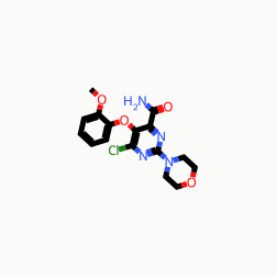 COc1ccccc1Oc1c(Cl)nc(N2CCOCC2)nc1C(N)=O